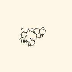 Cc1cc(F)c([N+](=O)[O-])cc1Nc1nccc(-c2cn3c4c(cccc24)OCC3)n1